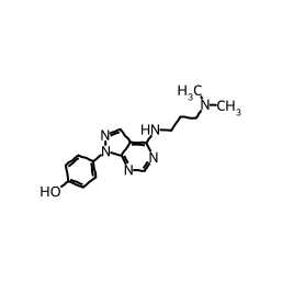 CN(C)CCCNc1ncnc2c1cnn2-c1ccc(O)cc1